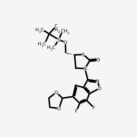 CC(C)(C)[Si](C)(C)OC[C@H]1CN(c2noc3c(F)c(F)c(C4OCCO4)cc23)C(=O)S1